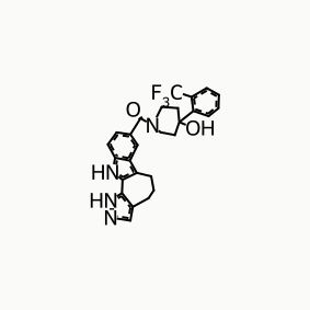 O=C(c1ccc2[nH]c3c(c2c1)CCCc1cn[nH]c1-3)N1CCC(O)(c2ccccc2C(F)(F)F)CC1